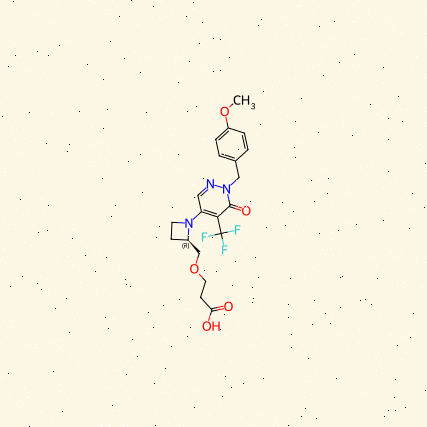 COc1ccc(Cn2ncc(N3CC[C@@H]3COCCC(=O)O)c(C(F)(F)F)c2=O)cc1